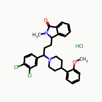 COc1ccccc1C1CCN(C(CCC2c3ccccc3C(=O)N2C)c2ccc(Cl)c(Cl)c2)CC1.Cl